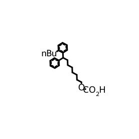 CCCCc1ccccc1C(CCCCCCCOC(=O)O)c1ccccc1